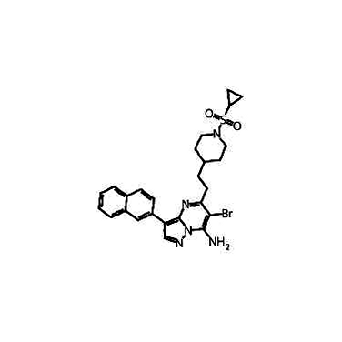 Nc1c(Br)c(CCC2CCN(S(=O)(=O)C3CC3)CC2)nc2c(-c3ccc4ccccc4c3)cnn12